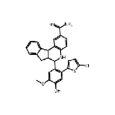 COc1cc(C2Nc3ccc(C(=N)N)cc3C3c4ccccc4CC23)c(-c2ccc(Cl)s2)cc1O